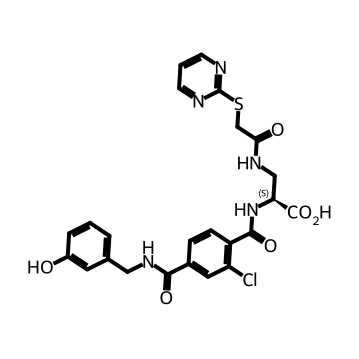 O=C(CSc1ncccn1)NC[C@H](NC(=O)c1ccc(C(=O)NCc2cccc(O)c2)cc1Cl)C(=O)O